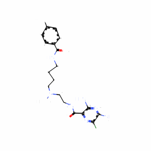 Cc1ccc(C(=O)NCCCCN(C)CCNC(=O)c2nc(Cl)c(N)nc2N)cc1